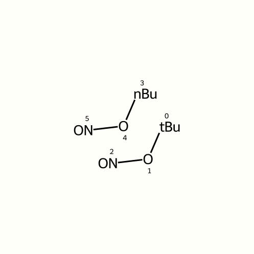 CC(C)(C)ON=O.CCCCON=O